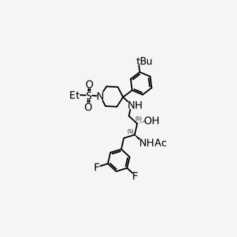 CCS(=O)(=O)N1CCC(NC[C@H](O)[C@H](Cc2cc(F)cc(F)c2)NC(C)=O)(c2cccc(C(C)(C)C)c2)CC1